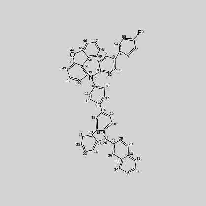 Fc1ccc(-c2ccc(N(c3ccc(-c4ccc5c(c4)c4ccccc4n5-c4ccc5ccccc5c4)cc3)c3cccc4oc5ccccc5c34)cc2)cc1